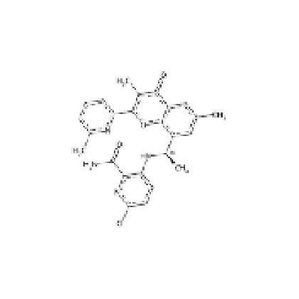 Cc1cc([C@@H](C)Nc2ccc(Cl)nc2C(N)=O)c2oc(-c3cccc(C)n3)c(C)c(=O)c2c1